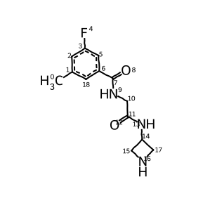 Cc1cc(F)cc(C(=O)NCC(=O)NC2CNC2)c1